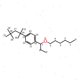 CCCCCCOC(CC)c1ccc(C(C)(C)CC(C)(C)C)cc1